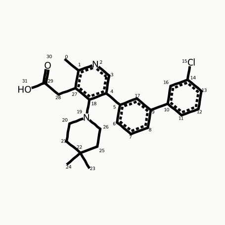 Cc1ncc(-c2cccc(-c3cccc(Cl)c3)c2)c(N2CCC(C)(C)CC2)c1CC(=O)O